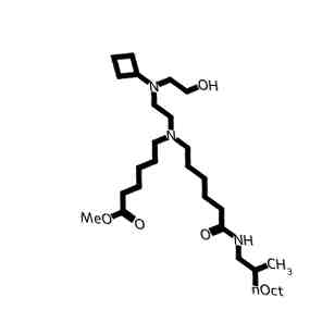 CCCCCCCCC(C)CNC(=O)CCCCCN(CCCCCC(=O)OC)CCN(CCO)C1CCC1